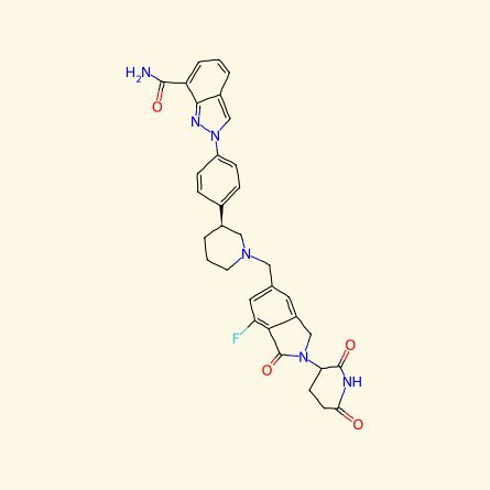 NC(=O)c1cccc2cn(-c3ccc([C@@H]4CCCN(Cc5cc(F)c6c(c5)CN(C5CCC(=O)NC5=O)C6=O)C4)cc3)nc12